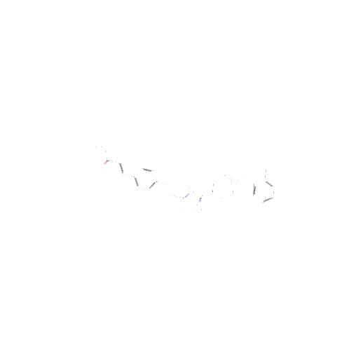 Cc1ccccc1CN1CCC(c2noc(COc3ccc(C=CC(=O)NO)cc3)n2)CC1